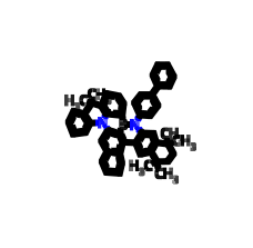 CC1(C)CCC(C)(C)c2cc3c(cc21)-c1c2c(cc4ccccc14)N1c4ccccc4C(C)(C)c4cccc(c41)B2N3c1ccc(-c2ccccc2)cc1